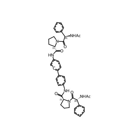 CC(=O)N[C@@H](C(=O)N1CCC[C@H]1C(=O)Nc1ccc(-c2ccc(NC(=O)[C@@H]3CCCN3C(=O)[C@H](NC(C)=O)c3ccccc3)cc2)cc1)c1ccccc1